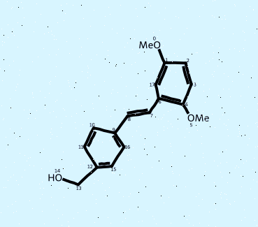 COc1ccc(OC)c(C=Cc2ccc(CO)cc2)c1